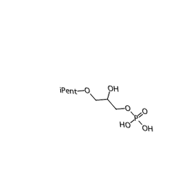 CCCC(C)OCC(O)COP(=O)(O)O